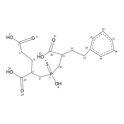 O=C(O)CCC(CP(O)(=S)CC(CCc1ccccc1)C(=O)O)C(=O)O